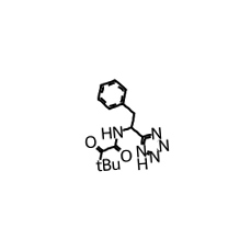 CC(C)(C)C(=O)C(=O)NC(Cc1ccccc1)c1nnn[nH]1